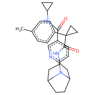 Cc1ccc(C2(C(=O)NC3CC4CCC(C3)N4c3ccc(C(=O)NC4CC4)cn3)CC2)cc1